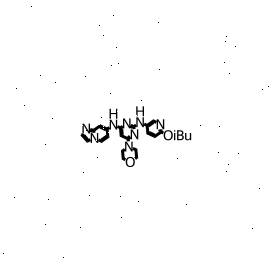 CC(C)COc1ccc(Nc2nc(Nc3ccn4ccnc4c3)cc(N3CCOCC3)n2)cn1